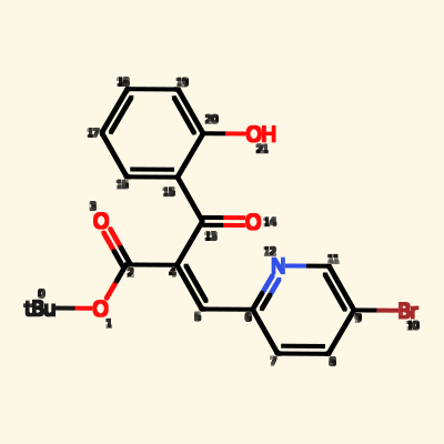 CC(C)(C)OC(=O)C(=Cc1ccc(Br)cn1)C(=O)c1ccccc1O